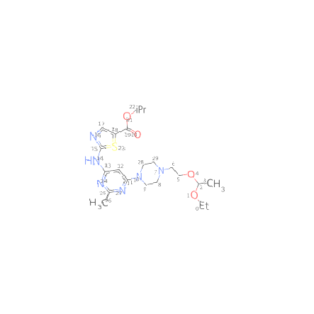 CCOC(C)OCCN1CCN(c2cc(Nc3ncc(C(=O)OC(C)C)s3)nc(C)n2)CC1